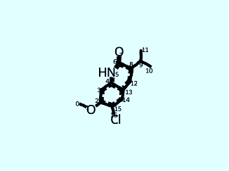 COc1cc2[nH]c(=O)c(C(C)C)cc2cc1Cl